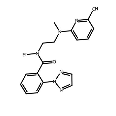 CCN(CCN(C)c1cccc(C#N)n1)C(=O)c1ccccc1-n1nccn1